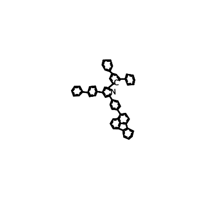 c1ccc(-c2ccc(-c3cc(-c4ccc(-c5ccc6c7c(cccc57)-c5ccccc5-6)cc4)nc(-c4cc(-c5ccccc5)cc(-c5ccccc5)c4)c3)cc2)cc1